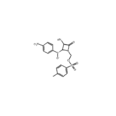 CCCC1C(=O)N(COS(=O)(=O)c2ccc(C)cc2)C1[S+]([O-])c1ccc([N+](=O)[O-])cc1